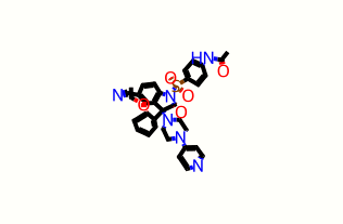 CCOc1ccccc1C1(N2CCN(c3ccncc3)CC2)C(=O)N(S(=O)(=O)c2ccc(NC(C)=O)cc2)c2ccc(C#N)cc21